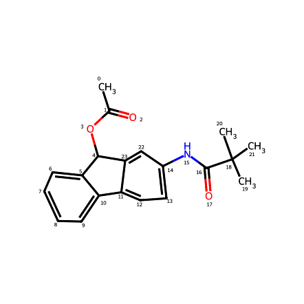 CC(=O)OC1c2ccccc2-c2ccc(NC(=O)C(C)(C)C)cc21